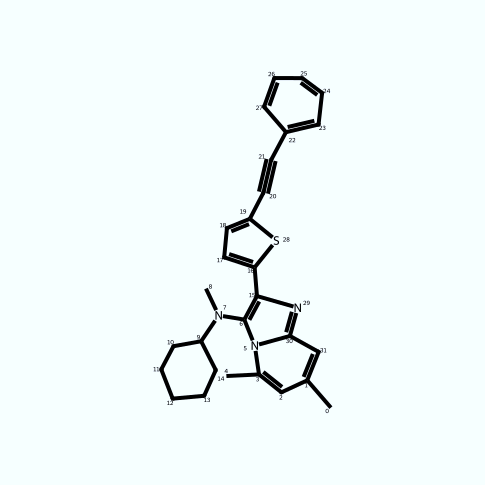 Cc1cc(C)n2c(N(C)C3CCCCC3)c(-c3ccc(C#Cc4ccccc4)s3)nc2c1